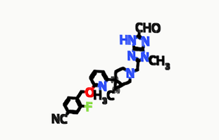 C[C@H]1C2CN(Cc3nc4[nH]c(C=O)nc4n3C)CC[C@]21c1cccc(OCc2ccc(C#N)cc2F)n1